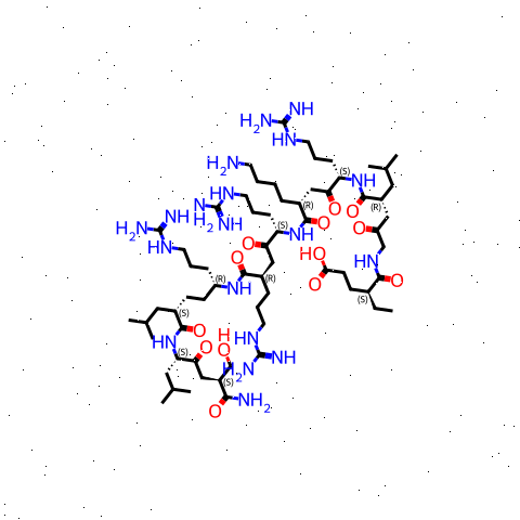 CC[C@@H](CCC(=O)O)C(=O)NCC(=O)C[C@@H](CC(C)C)C(=O)N[C@@H](CCCNC(=N)N)C(=O)C[C@@H](CCCCN)C(=O)N[C@@H](CCCNC(=N)N)C(=O)C[C@@H](CCCNC(=N)N)C(=O)N[C@@H](CCCNC(=N)N)CC[C@@H](CC(C)C)C(=O)N[C@@H](CC(C)C)C(=O)C[C@@H](CO)C(N)=O